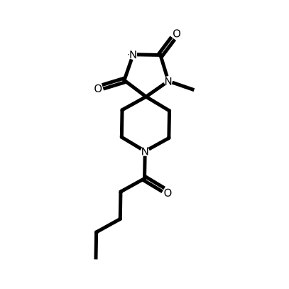 CCCCC(=O)N1CCC2(CC1)C(=O)[N]C(=O)N2C